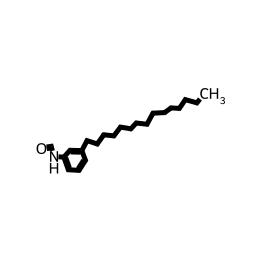 CCCCCCCCCCCCCCCc1cccc(NC=O)c1